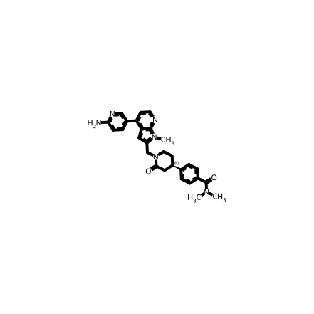 CN(C)C(=O)c1ccc([C@@H]2CCN(Cc3cc4c(-c5ccc(N)nc5)ccnc4n3C)C(=O)C2)cc1